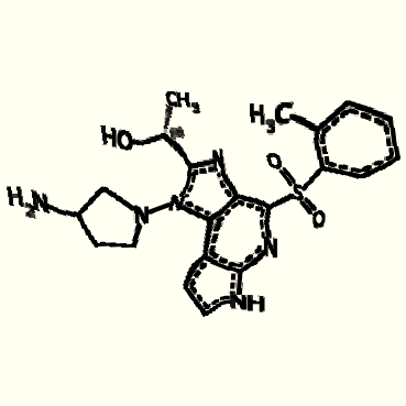 Cc1ccccc1S(=O)(=O)c1nc2[nH]ccc2c2c1nc([C@@H](C)O)n2N1CCC(N)C1